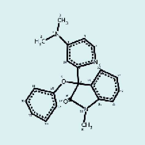 CN(C)c1ccnc(C2(Oc3ccccc3)C(=O)N(C)c3ccccc32)c1